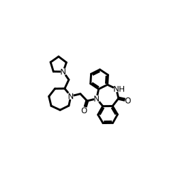 O=C1Nc2ccccc2N(C(=O)CN2CCCCCC2CN2CCCC2)c2ccccc21